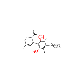 C=C(C)C1CCC(C)=CC1c1c(O)c(C)c(CCCCC)c(C)c1O